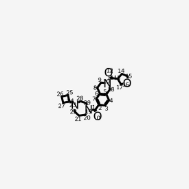 O=C(c1ccc2c(c1)CCN(C(=O)C1CCOC1)C2)N1CCCN(C2CCC2)CC1